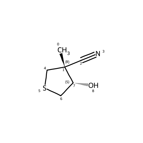 C[C@]1(C#N)CSC[C@H]1O